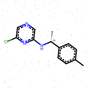 Cc1ccc([C@@H](C)Nc2cncc(Cl)n2)cc1